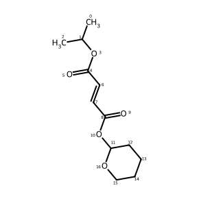 CC(C)OC(=O)C=CC(=O)OC1CCCCO1